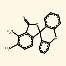 Nc1ccc2c(c1N)C(=O)OC21c2ccccc2Oc2ccccc21